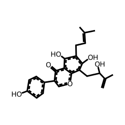 C=C(C)C(O)Cc1c(O)c(CC=C(C)C)c(O)c2c(=O)c(-c3ccc(O)cc3)coc12